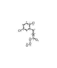 O=[SH](=[N+]=Nc1cc(Cl)ccc1Cl)OO[O-]